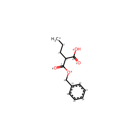 CCCC(C(=O)O)C(=O)OCc1ccccc1